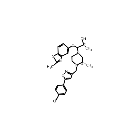 Cc1nc2cc(OC([C@@H](C)O)N3CCN(Cc4cc(-c5ccc(Cl)cc5)on4)[C@@H](C)C3)ccc2s1